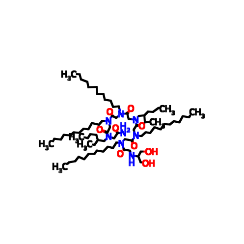 CCCCCCCCCCCCN(CC(=O)N(CCCCCCCCCCCC)CC(=O)N(CC(=O)N(CCCCCCCCCCCC)CC(=O)N(CCCCCCCCCCCC)CC(=O)N(CC(N)=O)CC(CC)CCCC)CC(CC)CCCC)C(=O)CNC(CO)CO